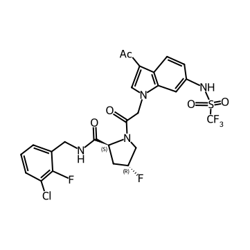 CC(=O)c1cn(CC(=O)N2C[C@H](F)C[C@H]2C(=O)NCc2cccc(Cl)c2F)c2cc(NS(=O)(=O)C(F)(F)F)ccc12